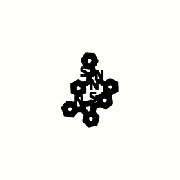 c1ccc(-c2nc(-c3cccc(-n4c5ccccc5c5c6ccccc6c6c7ccccc7sc6c54)c3)c3sc4ccccc4c3n2)cc1